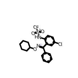 O=S(=O)(Nc1ccc(Cl)cc1/C(=N/OC1CCCCC1)c1ccccc1)C(F)(F)F